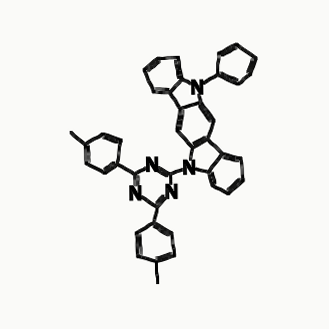 Cc1ccc(-c2nc(-c3ccc(C)cc3)nc(-n3c4ccccc4c4cc5c(cc43)c3ccccc3n5-c3ccccc3)n2)cc1